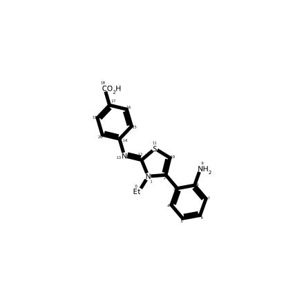 CCn1c(-c2ccccc2N)cs/c1=N\c1ccc(C(=O)O)cc1